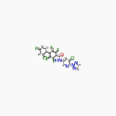 O=C(Nc1cnc(-n2nccn2)c(Cl)c1)c1c(F)c(F)c(-c2ccc(F)cc2Cl)c(F)c1F